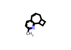 Cc1ccc2c(n1)C1CCC1CC=C2